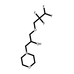 OC(COCC(F)(F)C(F)F)CN1CCOCC1